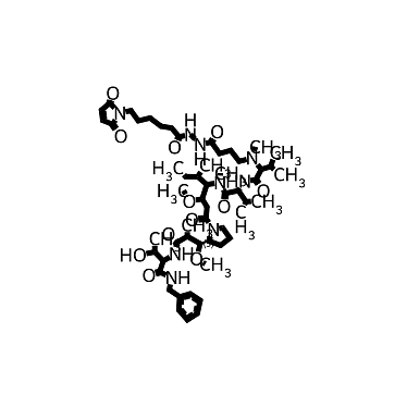 CCC(C)C(C(CC(=O)N1CCC[C@H]1C(OC)C(C)C(=O)NC(C(=O)NCc1ccccc1)C(C)O)OC)N(C)C(=O)C(NC(=O)C(C(C)C)N(C)CCCC(=O)NNC(=O)CCCCCN1C(=O)C=CC1=O)C(C)C